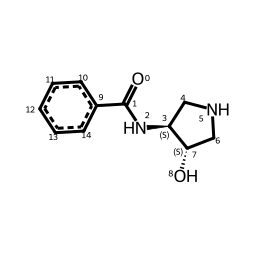 O=C(N[C@H]1CNC[C@@H]1O)c1ccccc1